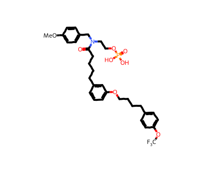 COc1ccc(CN(CCOP(=O)(O)O)C(=O)CCCCc2cccc(OCCCCc3ccc(OC(F)(F)F)cc3)c2)cc1